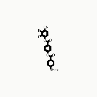 CCCCCCC1CCC(C(=O)Oc2ccc(C(=O)Oc3ccc(C#N)c(F)c3F)cc2)CC1